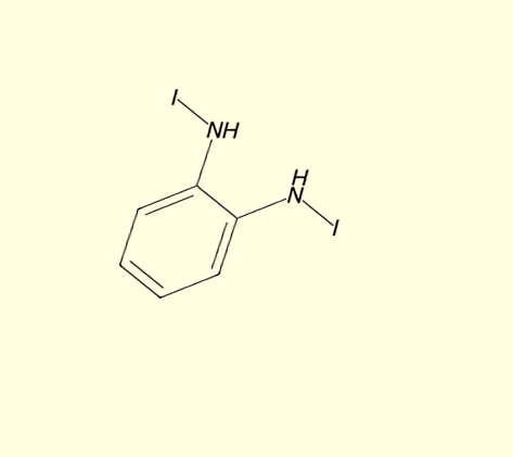 INc1ccccc1NI